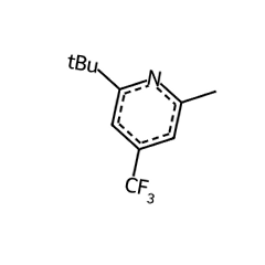 Cc1cc(C(F)(F)F)cc(C(C)(C)C)n1